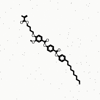 C=C(C)C(=O)OCCCCOc1ccc(C(=O)Oc2ccc(C(=O)Oc3ccc(CCCCCCCCCC)cc3)cc2)cc1OC